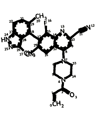 C=CC(=O)N1CCN(c2cc(C#N)nc3c(F)c(-c4c(C)ccc5[nH]nc(C)c45)c(Cl)cc23)CC1